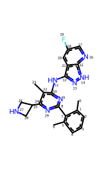 Cc1cccc(C)c1-c1nc(Nc2n[nH]c3ncc(F)cc23)c(C)c(C2CNC2)n1